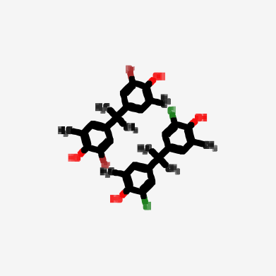 Cc1cc(C(C)(C)c2cc(C)c(O)c(Br)c2)cc(Br)c1O.Cc1cc(C(C)(C)c2cc(C)c(O)c(Cl)c2)cc(Cl)c1O